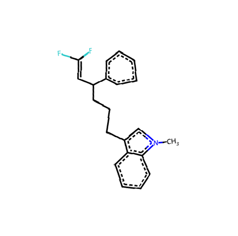 Cn1cc(CCCC(C=C(F)F)c2ccccc2)c2ccccc21